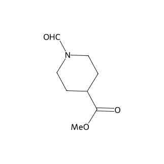 COC(=O)C1CCN(C=O)CC1